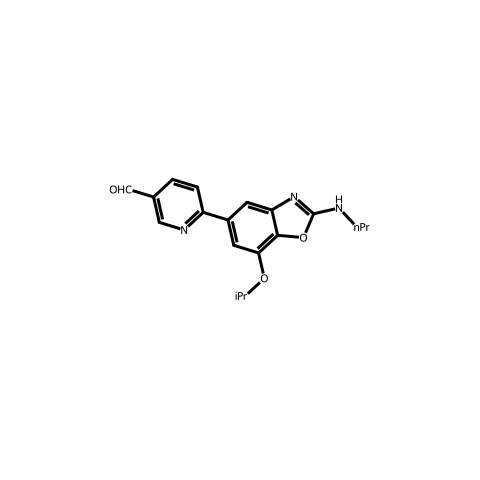 CCCNc1nc2cc(-c3ccc(C=O)cn3)cc(OC(C)C)c2o1